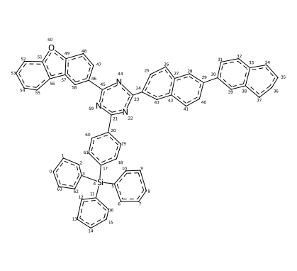 c1ccc([Si](c2ccccc2)(c2ccccc2)c2ccc(-c3nc(-c4ccc5cc(-c6ccc7ccccc7c6)ccc5c4)nc(-c4ccc5oc6ccccc6c5c4)n3)cc2)cc1